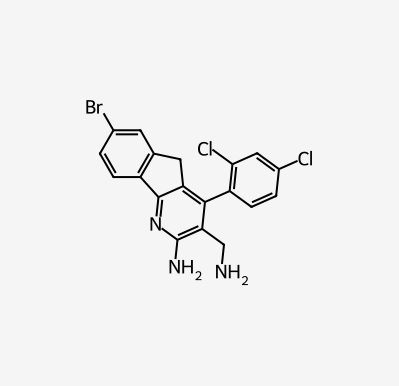 NCc1c(N)nc2c(c1-c1ccc(Cl)cc1Cl)Cc1cc(Br)ccc1-2